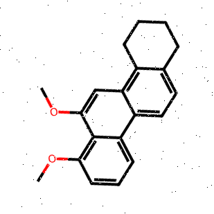 COc1cccc2c1c(OC)cc1c3c(ccc12)CCCC3